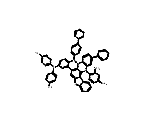 Cc1cc(C(C)(C)C)ccc1N1c2cc(-c3ccccc3)ccc2B2c3c(cc4oc5ccccc5c4c31)-c1cc(N(c3ccc(C(C)(C)C)cc3)c3ccc(C(C)(C)C)cc3)ccc1N2c1ccc(-c2ccccc2)cc1